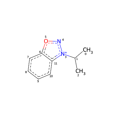 CC(C)[n+]1noc2ccccc21